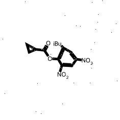 CCC(C)c1cc([N+](=O)[O-])cc([N+](=O)[O-])c1OC(=O)C1CC1